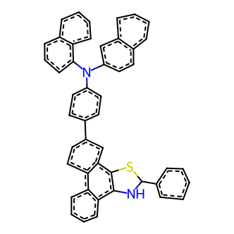 c1ccc(C2Nc3c(c4cc(-c5ccc(N(c6ccc7ccccc7c6)c6cccc7ccccc67)cc5)ccc4c4ccccc34)S2)cc1